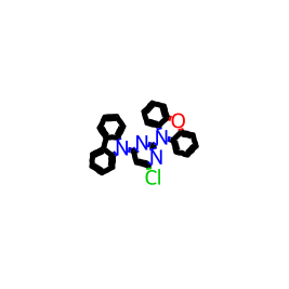 Clc1cc(-n2c3ccccc3c3ccccc32)nc(N2c3ccccc3Oc3ccccc32)n1